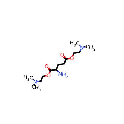 CN(C)CCOC(=O)CCC(N)C(=O)OCCN(C)C